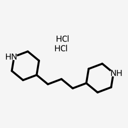 C(CC1CCNCC1)CC1CCNCC1.Cl.Cl